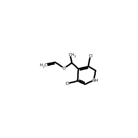 C=COC(C)C1=C(Cl)CNC=C1Cl